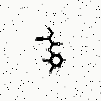 C#CC(CC)C(=O)Oc1cccc(C)c1C